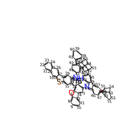 B1c2c(cc3c(oc4ccccc43)c2-c2cc3sc4cc5ccccc5cc4c3cc2Nc2ccc(-c3ccccc3)cc2)-n2c3ccc(C45C6CCC4CC5C6)cc3c3cc(C45CC6CC7CC(C4)C765)cc1c32